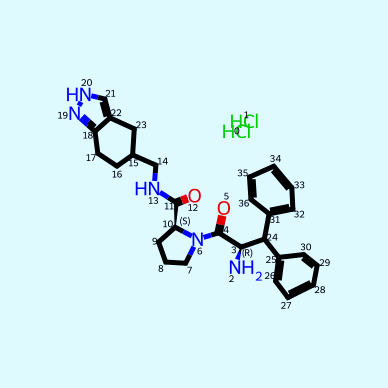 Cl.Cl.N[C@@H](C(=O)N1CCC[C@H]1C(=O)NCC1CCc2n[nH]cc2C1)C(c1ccccc1)c1ccccc1